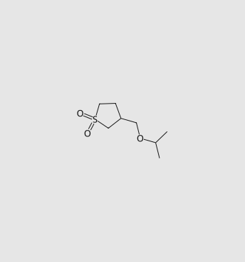 CC(C)OCC1CCS(=O)(=O)C1